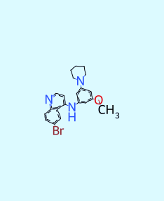 COc1cc(Nc2ccnc3ccc(Br)cc23)cc(N2CCCCC2)c1